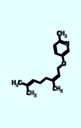 CC(C)=CCCC(C)=CCOc1ccc(C)nc1